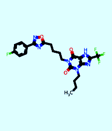 CCCCn1c(=O)n(CCCCc2nc(-c3ccc(F)cc3)no2)c(=O)c2[nH]c(C(F)(F)F)nc21